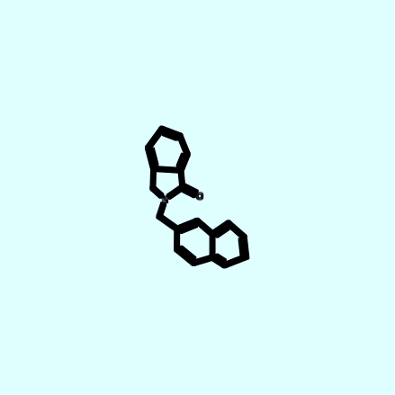 O=C1c2ccccc2CN1Cc1ccc2ccccc2c1